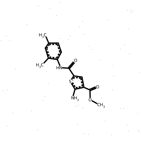 COC(=O)c1cc(C(=O)Nc2ccc(C)cc2C)sc1N